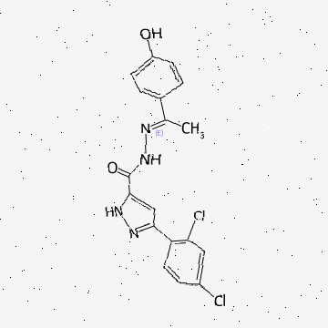 C/C(=N\NC(=O)c1cc(-c2ccc(Cl)cc2Cl)n[nH]1)c1ccc(O)cc1